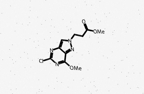 COC(=O)CCn1cc2nc(Cl)nc(OC)c2n1